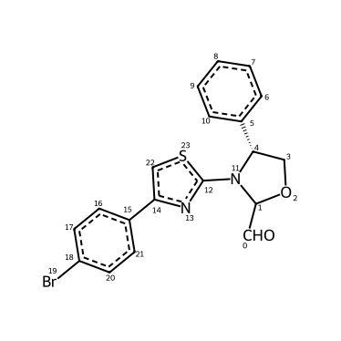 O=CC1OC[C@@H](c2ccccc2)N1c1nc(-c2ccc(Br)cc2)cs1